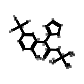 Cc1ccc(C(F)(F)F)cc1N(C(=O)OC(C)(C)C)c1ncco1